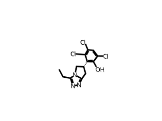 CCc1nnc2n1C[C@H](c1c(O)c(Cl)cc(Cl)c1Cl)C2